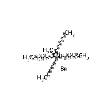 CCCCCCCCCCc1c[n+](CCCCCCCCCC)c(CCCCCCCCCC)c(CCCCCCCCCC)c1CC.[Br-]